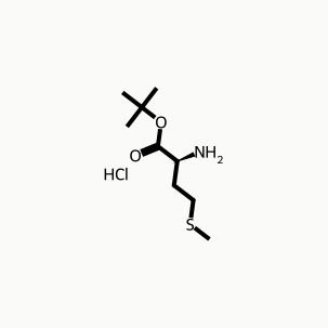 CSCC[C@H](N)C(=O)OC(C)(C)C.Cl